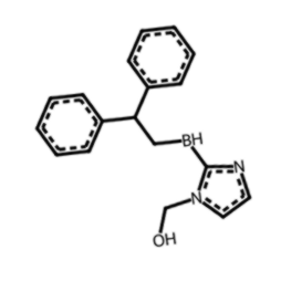 OCn1ccnc1BCC(c1ccccc1)c1ccccc1